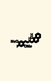 COc1cc(CCNCc2ccc3ccccc3c2O)c(OC)cc1I